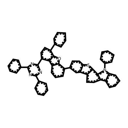 c1ccc(-c2nc(-c3ccccc3)nc(-c3ccc(-c4ccccc4)c4oc5c(-c6ccc7sc8c(ccc9c%10ccccc%10n(-c%10ccccc%10)c98)c7c6)cccc5c34)n2)cc1